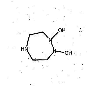 ON1CCNCCN1O